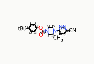 C[C@H]1CN(C(=O)Oc2ccc(C(C)(C)C)cc2)CCN1c1ccc(C#N)nn1